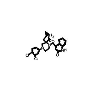 NC(=O)C1(CC2CC2)CN(c2ccc(Cl)c(Cl)c2)CCN1C(=O)c1cc(=O)[nH]c2ccccc12